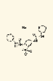 O=C(Nc1ccccc1)Nc1ccc(NC(=O)Nc2ccccc2)c(S(=O)(=O)[O-])c1.[Na+]